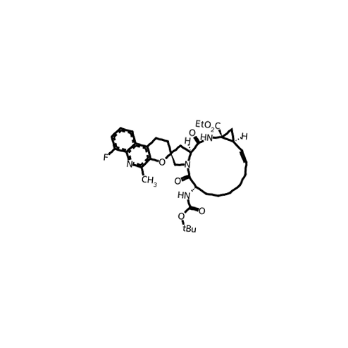 CCOC(=O)[C@@]12C[C@H]1/C=C\CCCCC[C@H](NC(=O)OC(C)(C)C)C(=O)N1C[C@@]3(CCc4c(c(C)nc5c(F)cccc45)O3)C[C@H]1C(=O)N2